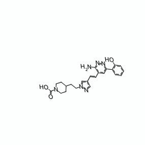 Nc1nnc(-c2ccccc2O)cc1/C=C/c1cnn(CCC2CCN(C(=O)O)CC2)c1